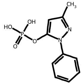 Cc1cc(OP(=O)(O)O)n(-c2ccccc2)n1